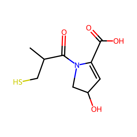 CC(CS)C(=O)N1CC(O)C=C1C(=O)O